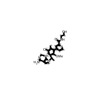 COc1c(C(C)n2ncc3c2NCN=C3N)cc(Cl)c(C)c1-c1ccnc(C(=O)NCCO)c1